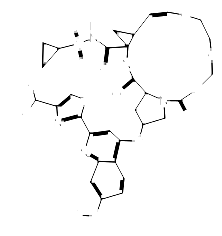 COc1ccc2c(OC3CC4C(=O)NC5(C(=O)NS(=O)(=O)C6CC6)CC5C=CCCCCCCC(=O)N4C3)cc(-c3nc(C(C)C)cs3)nc2c1